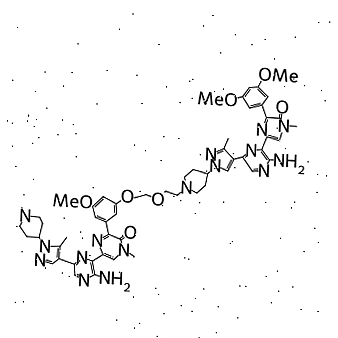 COc1cc(OC)cc(-c2nc(-c3nc(-c4cn(C5CCN(CCOCCOc6cc(OC)cc(-c7nc(-c8nc(-c9cnn(C%10CCN(C)CC%10)c9C)cnc8N)cn(C)c7=O)c6)CC5)nc4C)cnc3N)cn(C)c2=O)c1